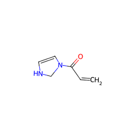 C=CC(=O)N1C=CNC1